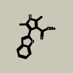 COC(=O)c1c(C)[nH]c(C)c1-c1cc2ccccc2o1